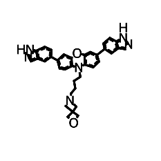 c1cc2c(cc1-c1ccc3[nH]ncc3c1)Oc1cc(-c3ccc4[nH]ncc4c3)ccc1N2CCCCN1CC2(COC2)C1